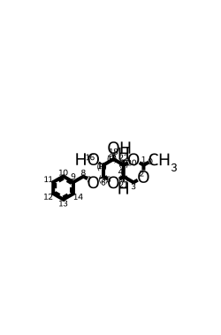 CC1OC[C@H]2O[C@H](OCc3ccccc3)[C@H](O)[C@@H](O)[C@@H]2O1